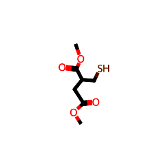 COC(=O)CC(CS)C(=O)OC